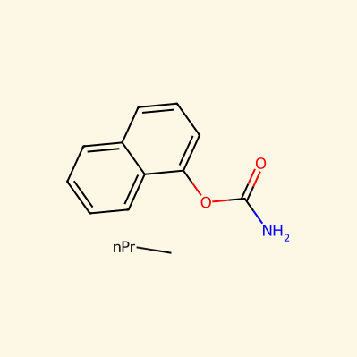 CCCC.NC(=O)Oc1cccc2ccccc12